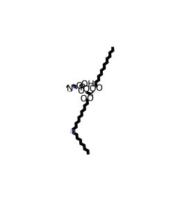 CCCCCCCC/C=C\CCCCCCCCCC(=O)O[C@H](COC(=O)CCCCCCCCCCCCC)COP(=O)(O)O/C=C/N(C)C